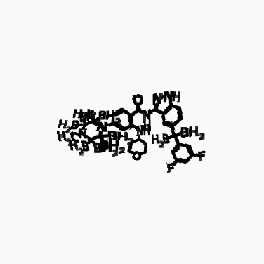 BC(B)(c1cc(F)cc(F)c1)c1ccc2[nH]nc(NC(=O)c3ccc(N4C(B)(B)C(B)(B)N(C)C(B)(B)C4(B)B)cc3NC3CCOCC3)c2c1